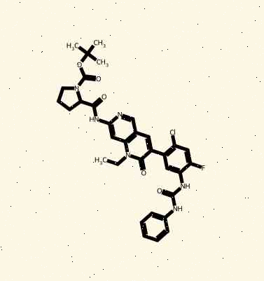 CCn1c(=O)c(-c2cc(NC(=O)Nc3ccccc3)c(F)cc2Cl)cc2cnc(NC(=O)C3CCCN3C(=O)OC(C)(C)C)cc21